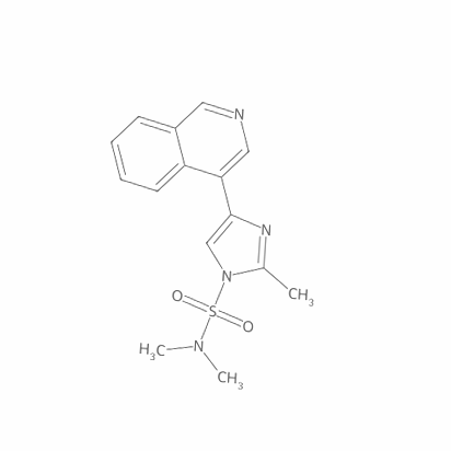 Cc1nc(-c2cncc3ccccc23)cn1S(=O)(=O)N(C)C